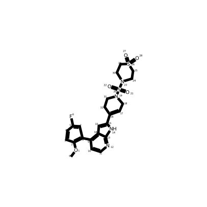 COc1ccc(F)cc1-c1ccnc2[nH]c(C3=CCN(S(=O)(=O)N4CCS(=O)(=O)CC4)CC3)cc12